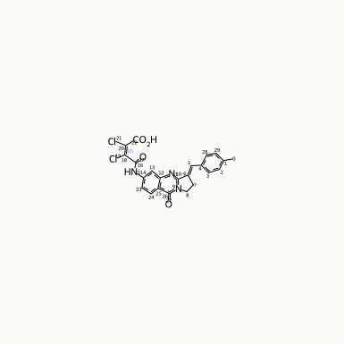 Cc1ccc(C=C2CCn3c2nc2cc(NC(=O)/C(Cl)=C(/Cl)C(=O)O)ccc2c3=O)cc1